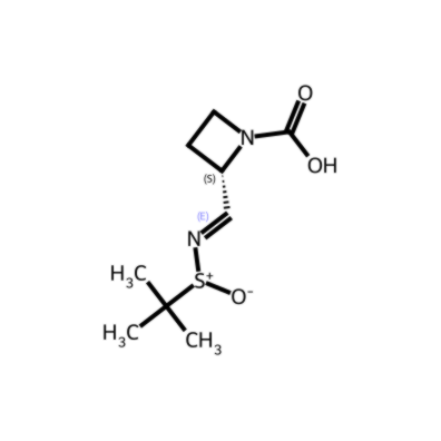 CC(C)(C)[S+]([O-])/N=C/[C@@H]1CCN1C(=O)O